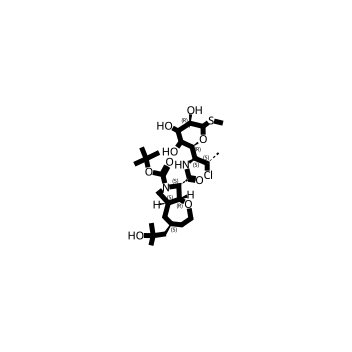 CSC1O[C@H]([C@H](NC(=O)[C@@H]2[C@@H]3OCC[C@@H](CC(C)(C)O)C[C@H]3CN2C(=O)OC(C)(C)C)[C@H](C)Cl)C(O)C(O)[C@H]1O